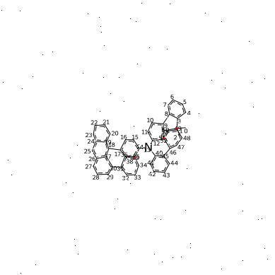 CC1(C)c2ccccc2-c2ccc(N(c3ccc(-c4c5ccccc5cc5cccc(-c6ccccc6)c45)cc3)c3ccccc3-c3ccccc3)cc21